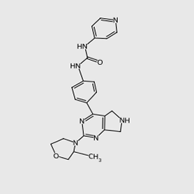 CC1COCCN1c1nc2c(c(-c3ccc(NC(=O)Nc4ccncc4)cc3)n1)CNC2